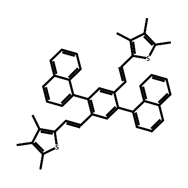 Cc1sc(/C=C/c2cc(-c3cccc4ccccc34)c(/C=C/c3sc(C)c(C)c3C)cc2-c2cccc3ccccc23)c(C)c1C